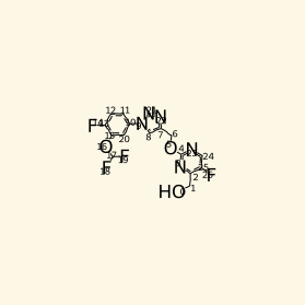 OCc1nc(OCc2cn(-c3ccc(F)c(OC(F)F)c3)nn2)ncc1F